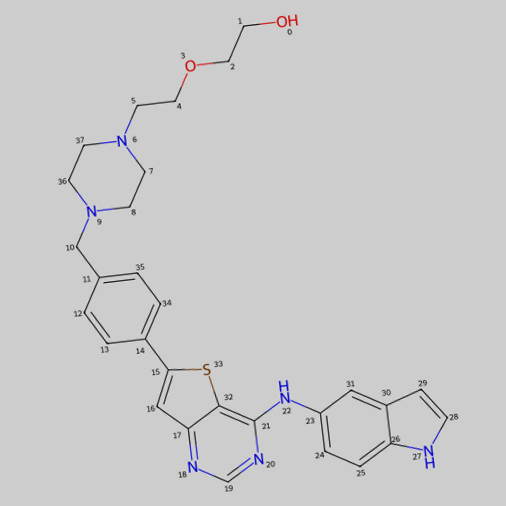 OCCOCCN1CCN(Cc2ccc(-c3cc4ncnc(Nc5ccc6[nH]ccc6c5)c4s3)cc2)CC1